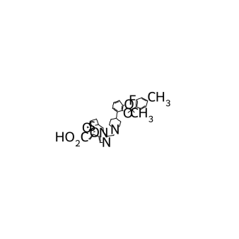 Cc1ccc(C2(C)Oc3cccc(C4CCN(Cc5ncc(/C=C/C(=O)O)n5CC5CCS5(=O)=O)CC4)c3O2)c(F)c1